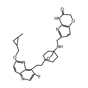 CC1CC1COc1ccc2ncc(F)c(CCC34CCC(NCc5ccc6c(n5)NC(=O)CO6)(CC3)CO4)c2n1